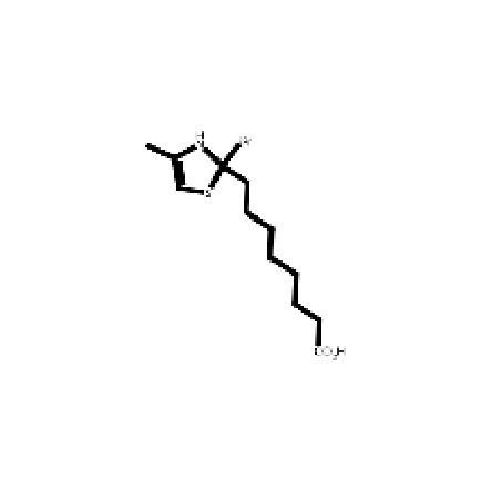 CC1=CSC(CCCCCCCC(=O)O)(C(C)C)N1